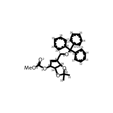 COC(=O)OC1C=C(COC(c2ccccc2)(c2ccccc2)c2ccccc2)C2OC(C)(C)OC12